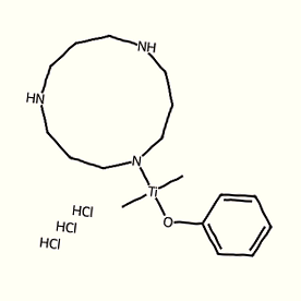 Cl.Cl.Cl.[CH3][Ti]([CH3])([O]c1ccccc1)[N]1CCCNCCCNCCC1